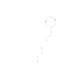 CC(CCCN=Cc1ccccn1)S[Si](C)(C)C